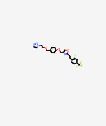 Fc1cc(C(F)(F)F)ccc1C=Cc1nc(COc2ccc(COCCn3ccnn3)cc2)co1